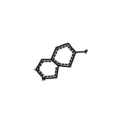 Fc1ccc2c[c]ncc2c1